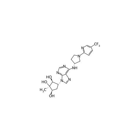 C[C@@]1(O)[C@H](O)C[C@@H](n2cnc3c(N[C@@H]4CCN(c5ccc(C(F)(F)F)cn5)C4)ncnc32)[C@@H]1O